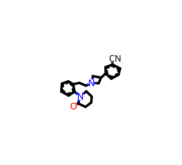 N#Cc1cccc(C2CN(CCc3ccccc3N3CCCCC3=O)C2)c1